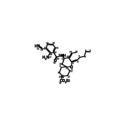 C=CCC/C=C1/OC2(CCN(C(=O)OCC)CC2)CC(NC(=O)c2cccc(C=N)c2N)/C1=C/C